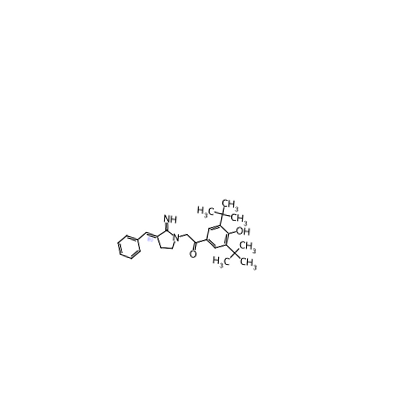 CC(C)(C)c1cc(C(=O)CN2CC/C(=C\c3ccccc3)C2=N)cc(C(C)(C)C)c1O